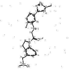 Cc1nsc(-c2ccc(C)c(NCC(=O)N3CCc4c(C[S+](C)[O-])cccc43)c2)n1